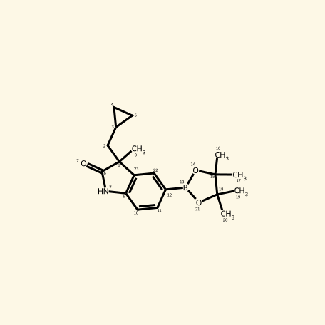 CC1(CC2CC2)C(=O)Nc2ccc(B3OC(C)(C)C(C)(C)O3)cc21